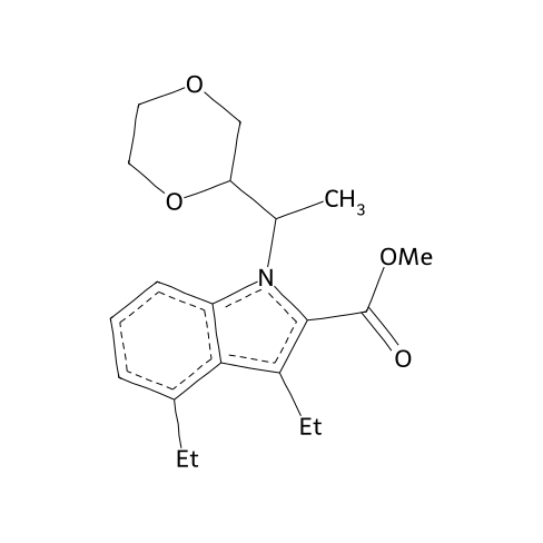 CCc1cccc2c1c(CC)c(C(=O)OC)n2C(C)C1COCCO1